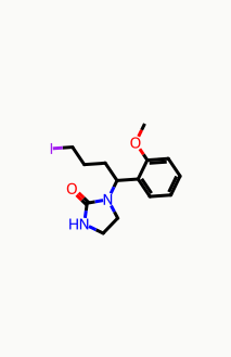 COc1ccccc1C(CCCI)N1CCNC1=O